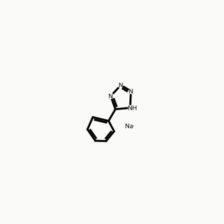 [Na].c1ccc(-c2nnn[nH]2)cc1